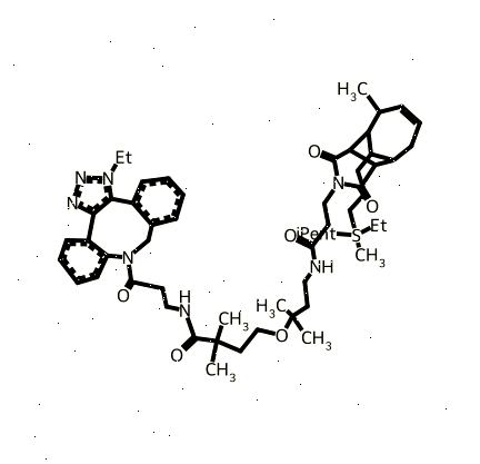 CCCC(C)S(C)(CC)CCCC1C2CC=CC(C)C1C1C(=O)N(CCC(=O)NCCC(C)(C)OCCC(C)(C)C(=O)NCCC(=O)N3Cc4ccccc4-c4c(nnn4CC)-c4ccccc43)C(=O)C21